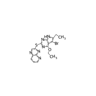 CCOc1nc(Sc2cnc3cccnc3n2)nc2[nH]c(CC)c(Br)c12